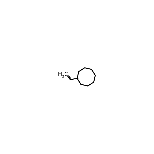 C=C[C]1CCCCCCC1